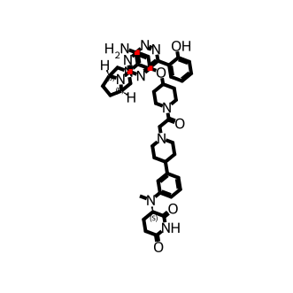 CN(c1cccc(C2CCN(CC(=O)N3CCC(Oc4ccnc(N5[C@@H]6CC[C@H]5CN(c5cc(-c7ccccc7O)nnc5N)C6)n4)CC3)CC2)c1)[C@H]1CCC(=O)NC1=O